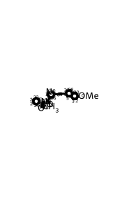 COc1ccc2cc(C#Cc3cncc(C(=O)N=S(C)(=O)c4ccccc4)c3)ccc2c1